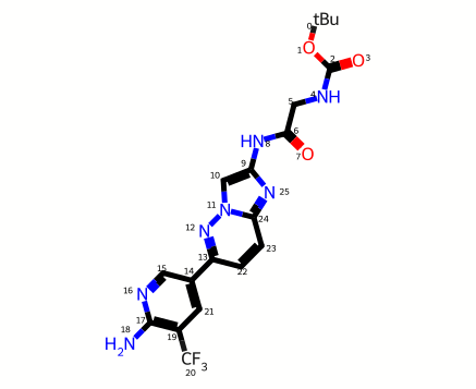 CC(C)(C)OC(=O)NCC(=O)Nc1cn2nc(-c3cnc(N)c(C(F)(F)F)c3)ccc2n1